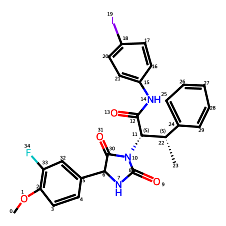 COc1ccc(C2NC(=O)N([C@H](C(=O)Nc3ccc(I)cc3)[C@@H](C)c3ccccc3)C2=O)cc1F